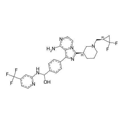 Nc1nccn2c([C@@H]3CCCN(C[C@H]4CC4(F)F)C3)nc(-c3ccc(C(O)Nc4cc(C(F)(F)F)ccn4)cc3)c12